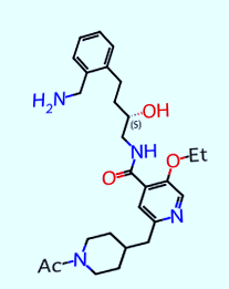 CCOc1cnc(CC2CCN(C(C)=O)CC2)cc1C(=O)NC[C@@H](O)CCc1ccccc1CN